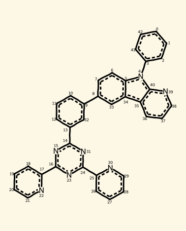 c1ccc(-n2c3ccc(-c4cccc(-c5nc(-c6ccccn6)nc(-c6ccccn6)n5)c4)cc3c3cccnc32)cc1